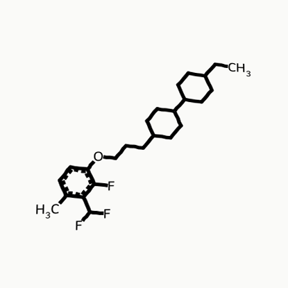 CCC1CCC(C2CCC(CCCOc3ccc(C)c(C(F)F)c3F)CC2)CC1